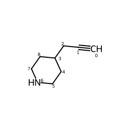 C#CCC1CCNCC1